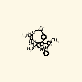 Cn1cc(-c2c3c4c(ncc5c4n(c(=O)n5C)[C@H]4C[C@H](N)[C@@H](C4)OCCC(F)(F)c4ccc-3cc4)n2S(=O)(=O)c2ccccc2)c(F)n1